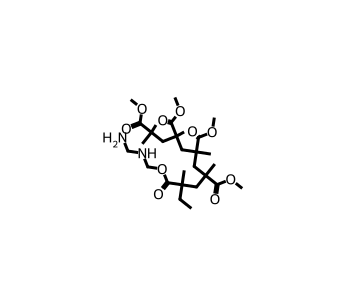 CCC(C)(CC(C)(CC(C)(CC(C)(CC(C)(C)C(=O)OC)C(=O)OC)C(=O)OC)C(=O)OC)C(=O)OCNCN